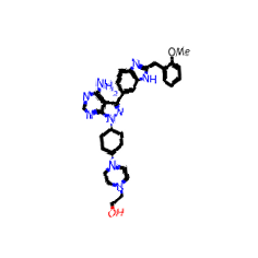 COc1ccccc1Cc1nc2ccc(-c3nn([C@H]4CC[C@@H](N5CCN(CCO)CC5)CC4)c4ncnc(N)c34)cc2[nH]1